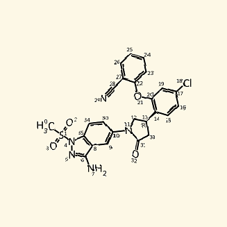 CS(=O)(=O)n1nc(N)c2cc(N3C[C@@H](c4ccc(Cl)cc4Oc4ccccc4C#N)CC3=O)ccc21